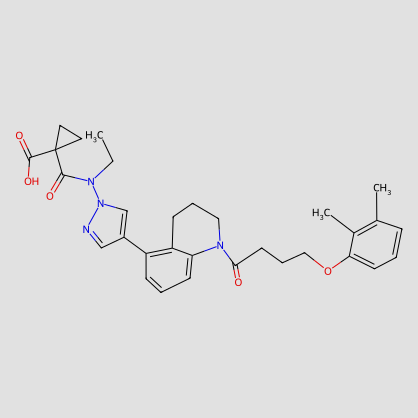 CCN(C(=O)C1(C(=O)O)CC1)n1cc(-c2cccc3c2CCCN3C(=O)CCCOc2cccc(C)c2C)cn1